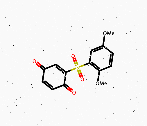 COc1ccc(OC)c(S(=O)(=O)C2=CC(=O)C=CC2=O)c1